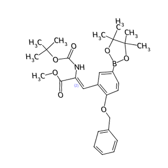 COC(=O)/C(=C/c1cc(B2OC(C)(C)C(C)(C)O2)ccc1OCc1ccccc1)NC(=O)OC(C)(C)C